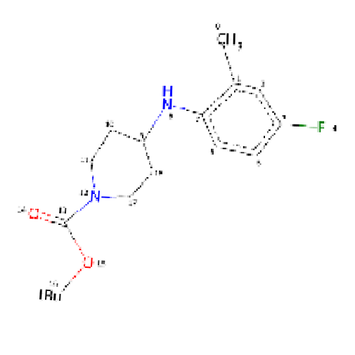 Cc1cc(F)ccc1NC1CCN(C(=O)OC(C)(C)C)CC1